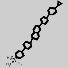 C[Si](C)(C)c1ccc(-c2ccc(-c3ccc4cc(-c5ccc(-c6ccc(C7CC7)cc6)cc5)ccc4c3)cc2)cc1